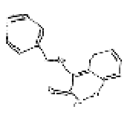 O=C1NOC2=CC=CCC2=C1N[CH]c1ccccc1